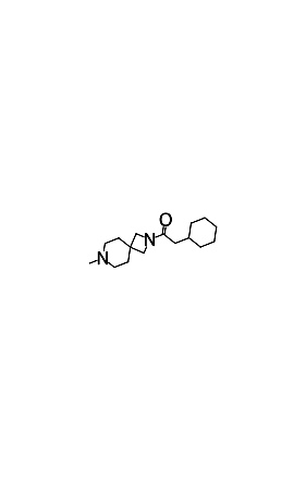 CN1CCC2(CC1)CN(C(=O)CC1CCCCC1)C2